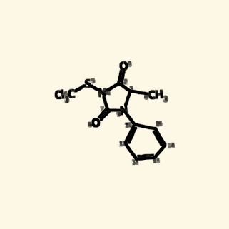 CC1C(=O)N(SC(Cl)(Cl)Cl)C(=O)N1c1ccccc1